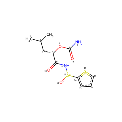 CC(C)C[C@H](OC(N)=O)C(=O)N[S+]([O-])c1cccs1